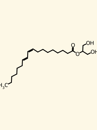 CCCCCC/C=C/C=C\CCCCCCCC(=O)OC(CO)CO